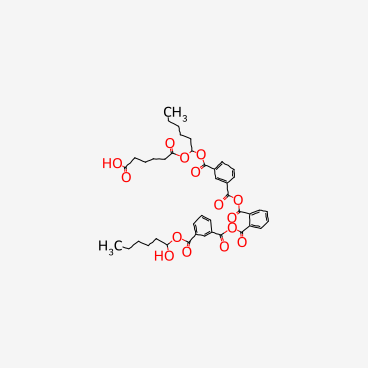 CCCCCC(O)OC(=O)c1cccc(C(=O)OC(=O)c2ccccc2C(=O)OC(=O)c2cccc(C(=O)OC(CCCCC)OC(=O)CCCCC(=O)O)c2)c1